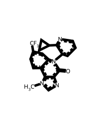 Cn1cnc2c(=O)n(-c3cccnc3C3CC3)c3cc(C(F)(F)F)ccc3c21